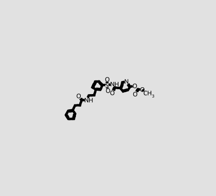 COC(=O)Oc1ccc(C(=O)NS(=O)(=O)c2cccc(CCNC(=O)CCc3ccccc3)c2)cn1